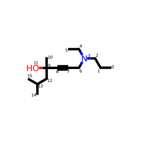 CCCN(CC)CC#CC(C)(O)CC(C)C